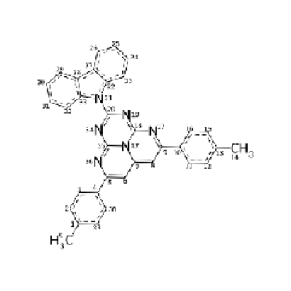 Cc1ccc(C2=CC3=CC(c4ccc(C)cc4)=NC4=NC(n5c6ccccc6c6ccccc65)=NC(=N2)N34)cc1